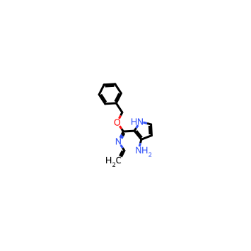 C=C/N=C(/OCc1ccccc1)c1[nH]ccc1N